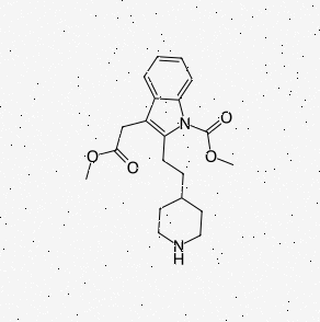 COC(=O)Cc1c(CCC2CCNCC2)n(C(=O)OC)c2ccccc12